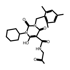 CC(=O)CNC(=O)c1c(O)n(C2CCCCC2)c(=O)n(Cc2c(C)cc(C)cc2C)c1=O